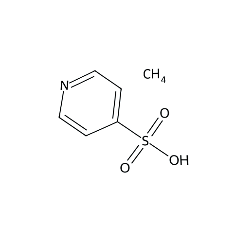 C.O=S(=O)(O)c1ccncc1